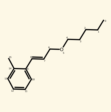 [CH2]CCCCOCC=Cc1ccccc1C